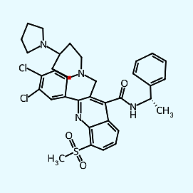 C[C@H](NC(=O)c1c(CN2CCC(N3CCCC3)CC2)c(-c2ccc(Cl)c(Cl)c2)nc2c(S(C)(=O)=O)cccc12)c1ccccc1